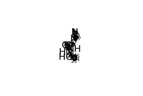 CN(C)Cc1nc(CSCCNC(=C[N+](=O)[O-])NCC(O)c2ccccc2)cs1